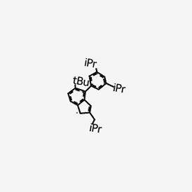 CC(C)CC1=Cc2c(ccc(C(C)(C)C)c2-c2cc(C(C)C)cc(C(C)C)c2)[CH]1